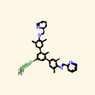 Br.Br.Br.Br.Cc1cc(-c2cc(Br)cc(-c3cc(C)c(N=Cc4ccccn4)c(C)c3)c2C)cc(C)c1N=Cc1ccccn1.[Pd].[Pd]